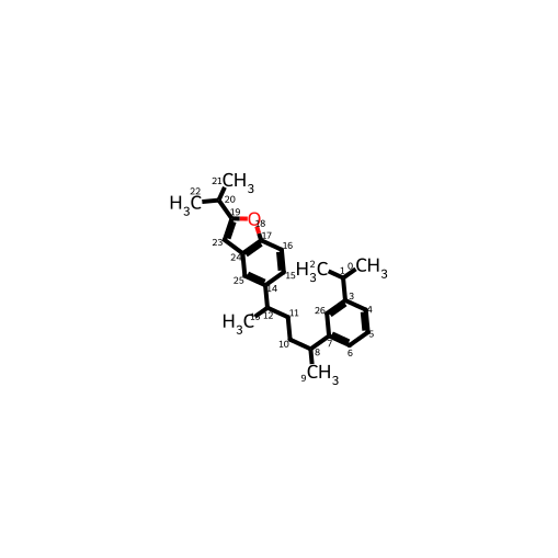 CC(C)c1cccc(C(C)CCC(C)c2ccc3oc(C(C)C)cc3c2)c1